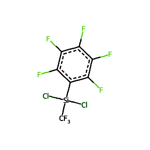 Fc1c(F)c(F)c([Si](Cl)(Cl)C(F)(F)F)c(F)c1F